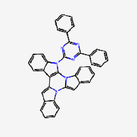 c1ccc(-c2nc(-c3ccccc3)nc(-n3c4ccccc4c4c5cc6ccccc6n5c5cc6ccccc6n5c43)n2)cc1